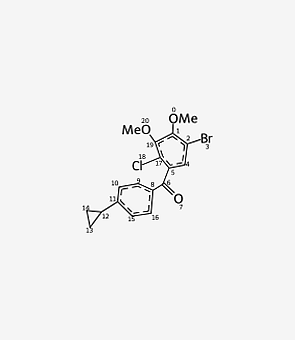 COc1c(Br)cc(C(=O)c2ccc(C3CC3)cc2)c(Cl)c1OC